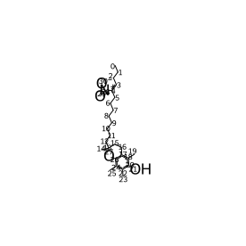 CCC/C=C(/CCCCCCCCC1(C)CCc2c(C)c(O)c(C)c(C)c2O1)[N+](=O)[O-]